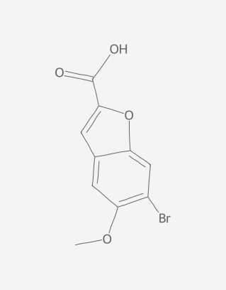 COc1cc2cc(C(=O)O)oc2cc1Br